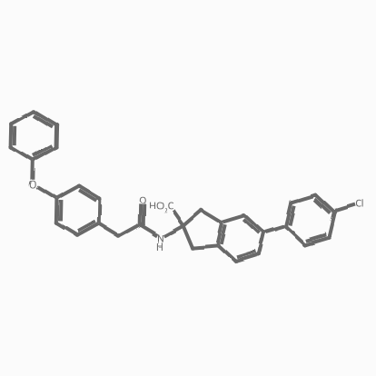 O=C(Cc1ccc(Oc2ccccc2)cc1)NC1(C(=O)O)Cc2ccc(-c3ccc(Cl)cc3)cc2C1